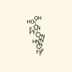 OCC(O)c1cnc(-c2ccc3c(Nc4ccc(C(F)(F)F)cn4)ncnc3c2)c(C(F)(F)F)c1